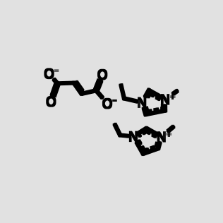 CCn1cc[n+](C)c1.CCn1cc[n+](C)c1.O=C([O-])/C=C/C(=O)[O-]